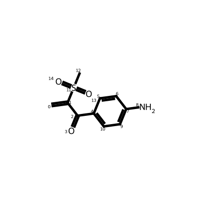 C=C(C(=O)c1ccc(N)cc1)S(C)(=O)=O